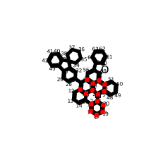 c1ccc(-c2ccccc2-c2ccccc2-c2ccccc2N(c2ccc(-c3ccc4c(c3)C3(CCCCC3)c3ccccc3-4)cc2)c2ccccc2-c2cccc3c2oc2ccccc23)cc1